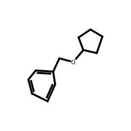 c1ccc(COC2CCCC2)cc1